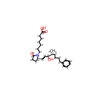 C[C@H](CCCCc1ccccc1)[C@@H](O)C=C[C@H]1CCC(=O)N1CCCCCCC(=O)O